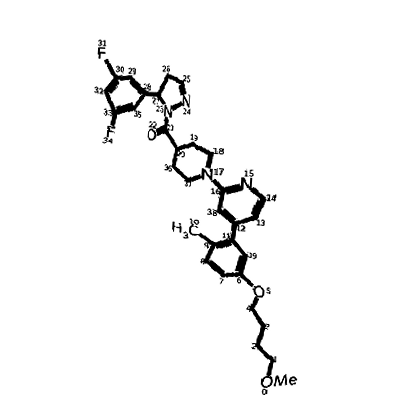 COCCCCOc1ccc(C)c(-c2ccnc(N3CCC(C(=O)N4N=CCC4c4cc(F)cc(F)c4)CC3)c2)c1